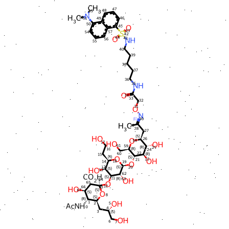 CC(=O)N[C@H]1[C@H](C[C@H](O)CO)O[C@@](O[C@H]2[C@@H](O)[C@@H](CCO)O[C@@H](O[C@H]3[C@H](O)[C@@H](O)[C@H](C/C(C)=N/OCC(=O)NCCCCCNS(=O)(=O)c4cccc5c(N(C)C)cccc45)O[C@@H]3CO)[C@@H]2O)(C(=O)O)C[C@@H]1O